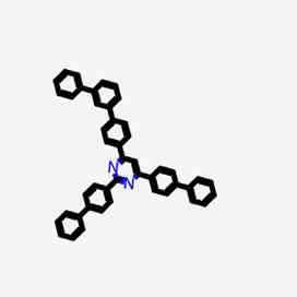 c1ccc(-c2ccc(-c3cc(-c4ccc(-c5cccc(-c6ccccc6)c5)cc4)nc(-c4ccc(-c5ccccc5)cc4)n3)cc2)cc1